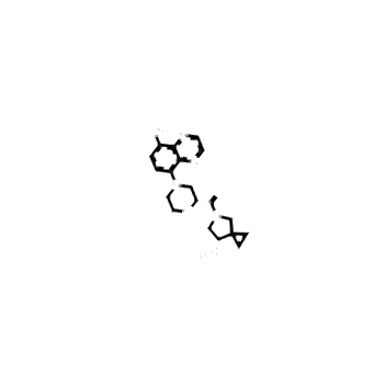 N#Cc1ccc(N2C[C@@H](C(F)(F)F)O[C@@H](C(=O)N3C[C@@H](N)C4(CC4)C3)C2)c2nccnc12